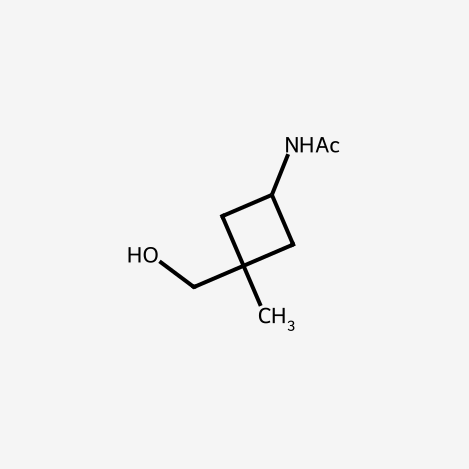 CC(=O)NC1CC(C)(CO)C1